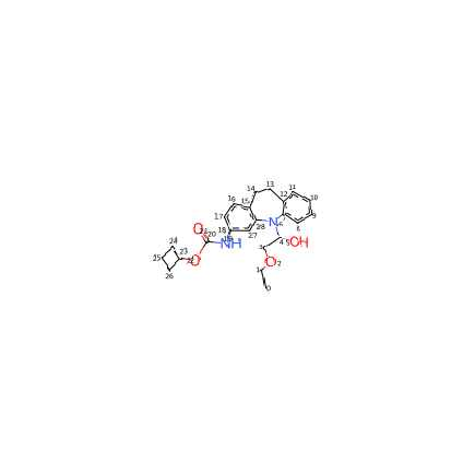 CCOCC(O)N1c2ccccc2CCc2ccc(NC(=O)OC3CCC3)cc21